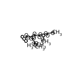 COCCCC(=O)Oc1cc(COC)cc(OC(=O)CCC(=O)OCC(COC(=O)c2c3ccccc3cc3ccccc23)OC(=O)CCC(=O)OC(C)(C)C)c1